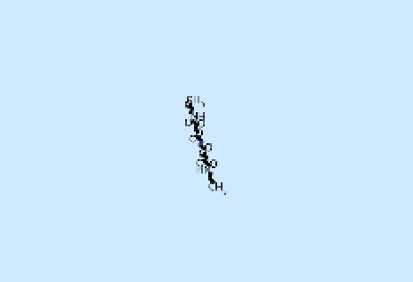 CCCCNC(=O)C(=O)COC(=O)/C=C/C(=O)OCC(=O)C(=O)NCCOC